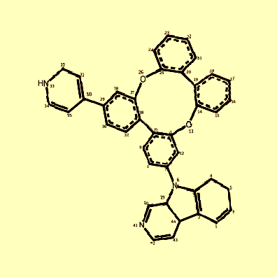 C1=CC2=C(CC1)N(c1ccc3c(c1)Oc1ccccc1-c1ccccc1Oc1cc(C4=CCNC=C4)ccc1-3)C1C=NC=CC21